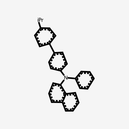 CC(C)c1ccc(-c2ccc(N(c3ccccc3)c3cccc4ccccc34)cc2)cc1